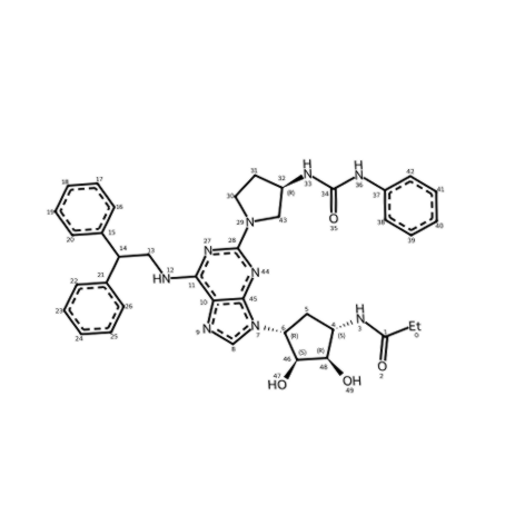 CCC(=O)N[C@H]1C[C@@H](n2cnc3c(NCC(c4ccccc4)c4ccccc4)nc(N4CC[C@@H](NC(=O)Nc5ccccc5)C4)nc32)[C@H](O)[C@@H]1O